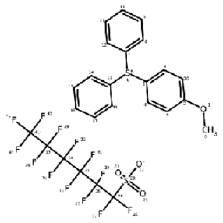 COc1ccc([S+](c2ccccc2)c2ccccc2)cc1.O=S(=O)([O-])C(F)(F)C(F)(F)C(F)(F)C(F)(F)C(F)(F)C(F)(F)F